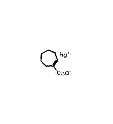 O=C([O-])C1=CCCCCC1.[Hg+]